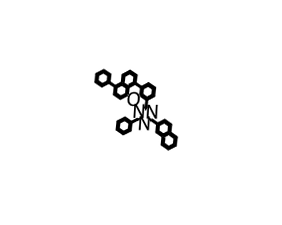 c1ccc(-c2nc(-c3ccc4ccccc4c3)nc(-c3cccc4c3Oc3ccc(-c5ccccc5)c5cccc-4c35)n2)cc1